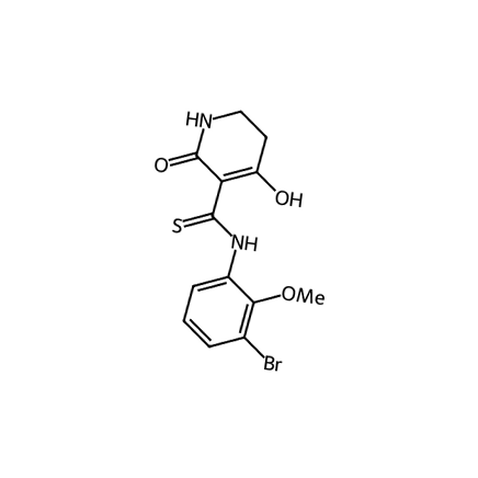 COc1c(Br)cccc1NC(=S)C1=C(O)CCNC1=O